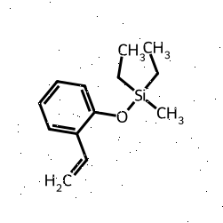 C=Cc1ccccc1O[Si](C)(CC)CC